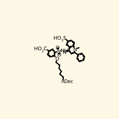 CCCCCCCCCCCCCCCCOc1ccc(C(=O)O)cc1S(=O)(=O)N/N=c1/cc(-c2ccccc2)n(C)c2ccc(S(=O)(=O)O)cc12